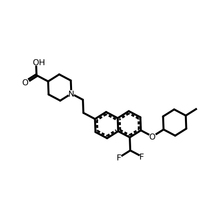 CC1CCC(Oc2ccc3cc(CCN4CCC(C(=O)O)CC4)ccc3c2C(F)F)CC1